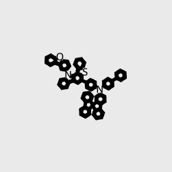 c1ccc(-c2ccc(N(c3ccc(-c4cc5c6ccccc6n(-c6ccc7oc8ccccc8c7c6)c5c5c4sc4ccccc45)cc3)c3ccc4c(c3)C3(c5ccccc5-c5ccccc53)c3ccccc3-4)cc2)cc1